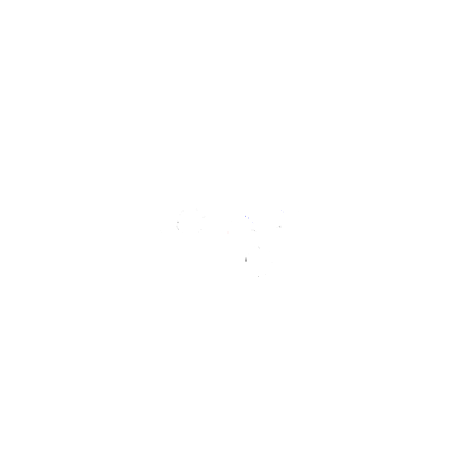 CN(C(=O)Cc1ccc(Cl)c(Cl)c1)[C@@H]1c2ccccc2C[C@H]1N1CCCCC1